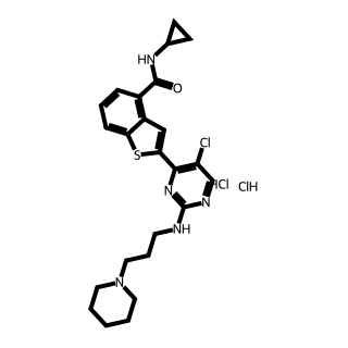 Cl.Cl.O=C(NC1CC1)c1cccc2sc(-c3nc(NCCCN4CCCCC4)ncc3Cl)cc12